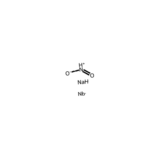 O=[NH+][O-].[NaH].[Nb]